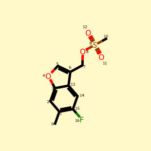 Cc1cc2occ(COS(C)(=O)=O)c2cc1F